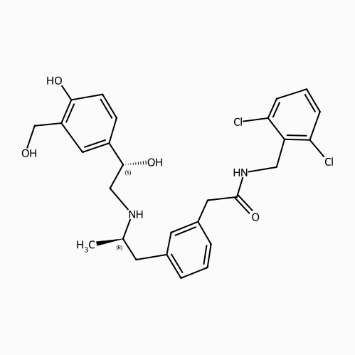 C[C@H](Cc1cccc(CC(=O)NCc2c(Cl)cccc2Cl)c1)NC[C@@H](O)c1ccc(O)c(CO)c1